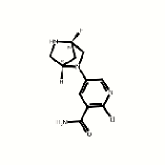 NC(=O)c1cc(N2C[C@@H]3C[C@H]2CN3)cnc1Cl